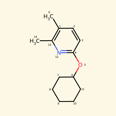 Cc1ccc(OC2CCCCC2)nc1C